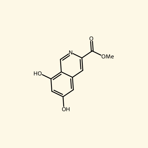 COC(=O)c1cc2cc(O)cc(O)c2cn1